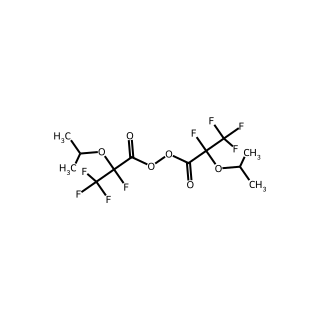 CC(C)OC(F)(C(=O)OOC(=O)C(F)(OC(C)C)C(F)(F)F)C(F)(F)F